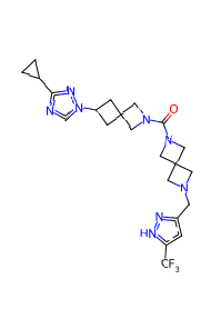 O=C(N1CC2(CC(n3cnc(C4CC4)n3)C2)C1)N1CC2(CN(Cc3cc(C(F)(F)F)[nH]n3)C2)C1